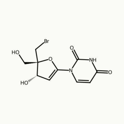 O=c1ccn(C2=C[C@H](O)[C@](CO)(CBr)O2)c(=O)[nH]1